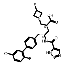 O=C(N[C@H](Cc1ccc(-c2cc(Cl)ccc2F)cc1)C[C@@H](CN1CC(F)C1)C(=O)O)c1cnn[nH]1